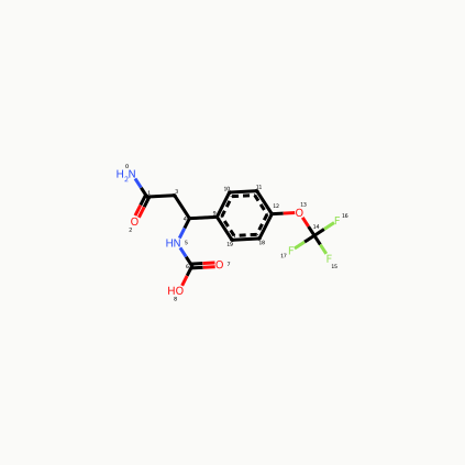 NC(=O)CC(NC(=O)O)c1ccc(OC(F)(F)F)cc1